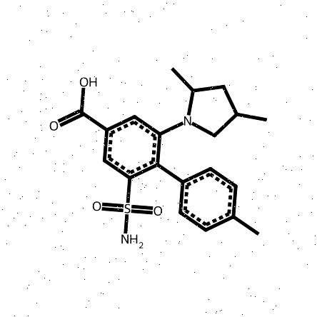 Cc1ccc(-c2c(N3CC(C)CC3C)cc(C(=O)O)cc2S(N)(=O)=O)cc1